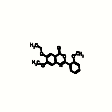 CCOc1cc2c(=O)oc(-c3ccccc3OC)nc2cc1OC